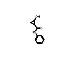 O=C(Nc1ccccc1)C1CC1O